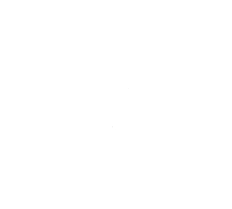 O=S(=O)(O)C(O)[C@H]1COC2(CCCCC2)O1.[NaH]